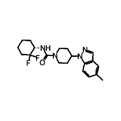 Cc1ccc2c(cnn2C2CCN(C(=O)N[C@H]3CCCCC3(F)F)CC2)c1